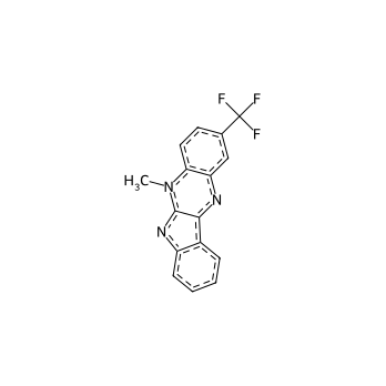 Cn1c2nc3ccccc3c-2nc2cc(C(F)(F)F)ccc21